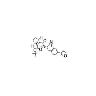 CC(C)(C)OC(=O)N1[C@@H]2CC[C@@H](C2)[C@H]1C(=O)NC(C#N)Cc1ccc(-c2ccoc2)cc1F